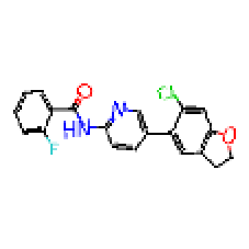 O=C(Nc1ccc(-c2cc3c(cc2Cl)OCC3)cn1)c1ccccc1F